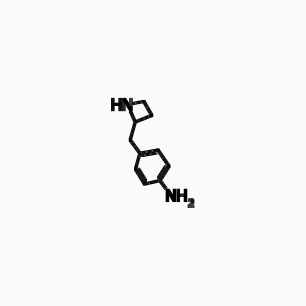 Nc1ccc(CC2CCN2)cc1